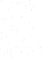 [O]CCCCC=C(Cl)Cl